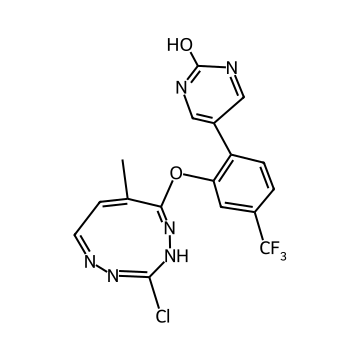 Cc1ccnnc(Cl)[nH]nc1Oc1cc(C(F)(F)F)ccc1-c1cnc(O)nc1